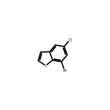 Clc1cc(Br)c2sccc2c1